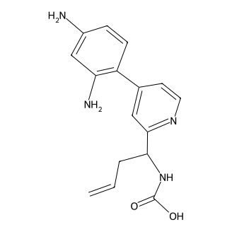 C=CCC(NC(=O)O)c1cc(-c2ccc(N)cc2N)ccn1